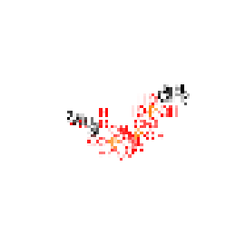 O.O=P(O)(O)O.O=P(O)(O)O.O=P(O)(O)O.O=[Si](O)O.[AlH3].[CaH2].[SrH2].[Zn]